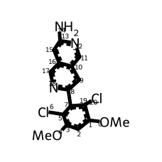 COc1cc(OC)c(Cl)c(-c2cc3cnc(N)cc3cn2)c1Cl